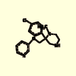 O=C(O)N1CCNCC1(COc1cccnc1)c1ccc(Cl)cc1